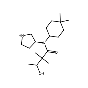 CC(O)C(C)(C)C(=O)N(C1CCC(C)(C)CC1)[C@H]1CCNC1